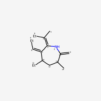 C=C1NC(=C(\C)CC)/C(=C\CC)C(CC)CC1C